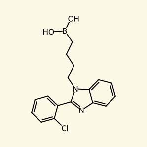 OB(O)CCCCn1c(-c2ccccc2Cl)nc2ccccc21